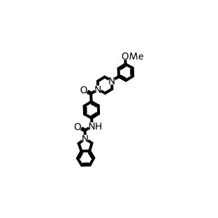 COc1cccc(N2CCN(C(=O)c3ccc(NC(=O)N4Cc5ccccc5C4)cc3)CC2)c1